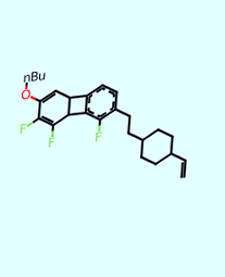 C=CC1CCC(CCc2ccc3c(c2F)C2C(F)=C(F)C(OCCCC)=CC32)CC1